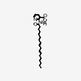 CCCCCC/C=C/C/C=C/CCCCCCC(=O)Nc1ncccc1C(=O)O